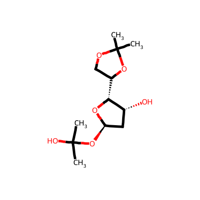 CC(C)(O)O[C@@H]1C[C@@H](O)[C@@H](C2COC(C)(C)O2)O1